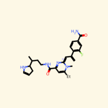 C=C(/C=C1/N=C(C(=O)NCCC(C)C2CC=CN2)C=C(CC)N1C)c1ccc(C(N)=O)cc1F